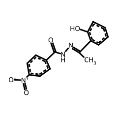 C/C(=N\NC(=O)c1ccc([N+](=O)[O-])cc1)c1ccccc1O